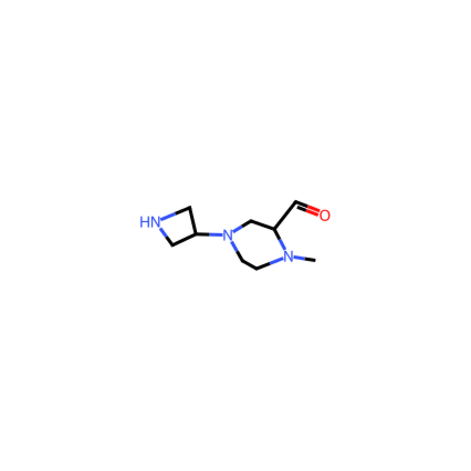 CN1CCN(C2CNC2)CC1C=O